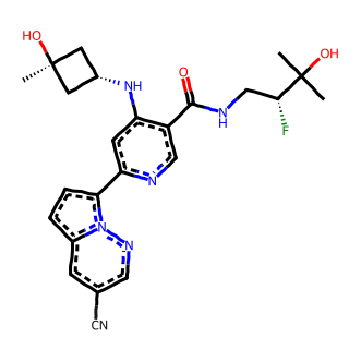 CC(C)(O)[C@H](F)CNC(=O)c1cnc(-c2ccc3cc(C#N)cnn23)cc1N[C@H]1C[C@](C)(O)C1